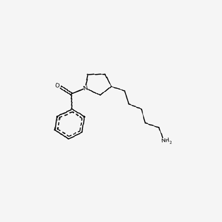 NCCCCCC1CCN(C(=O)c2ccccc2)C1